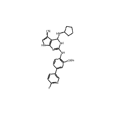 COc1cc(-c2ccc(F)nc2)ccc1NC1=Nc2[nH]cc(C#N)c2C(NC2CCCC2)N1